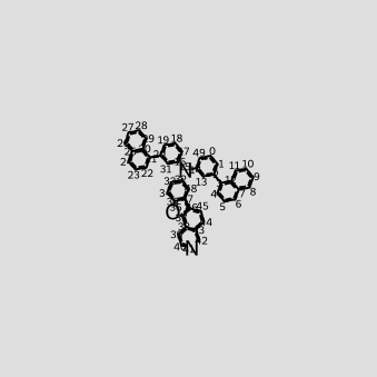 c1cc(-c2cccc3ccccc23)cc(N(c2cccc(-c3cccc4ccccc34)c2)c2ccc3oc4c5ccncc5ccc4c3c2)c1